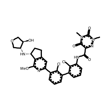 COc1nc(-c2cccc(-c3cccc(NC(=O)c4nn(C)c(=O)n(C)c4=O)c3Cl)c2Cl)cc2c1[C@H](N[C@@H]1COC[C@H]1O)CC2